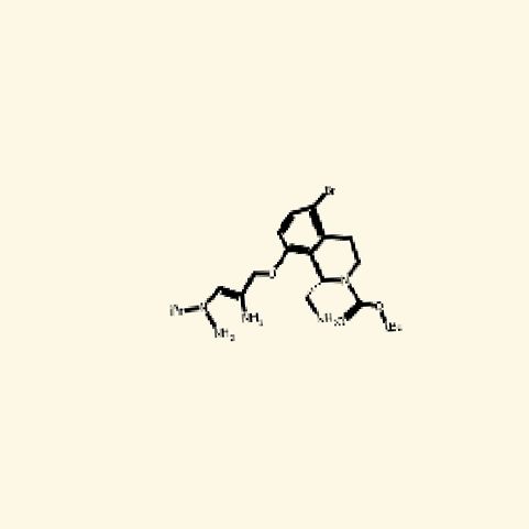 CC(C)N(N)/C=C(\N)COc1ccc(Br)c2c1[C@@H](CN)N(C(=O)OC(C)(C)C)CC2